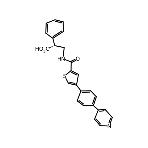 O=C(NC[C@H](C(=O)O)c1ccccc1)c1cc(-c2ccc(-c3ccncc3)cc2)cs1